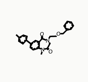 Cc1ccc(-c2ccc3c(c2)C(=O)N(CCOCc2ccccc2)CC(=O)N3C)cc1